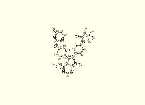 C=C1C(=O)N(c2ccc(-c3c(-c4ccc(Oc5nccc(C)n5)cc4)c4c(N)ncnc4n3C)cc2)CC1(C)C